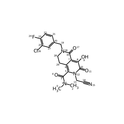 CN(C)C(=O)c1c2c(c(O)c(=O)n1CC#N)C(=O)N(Cc1ccc(F)c(Cl)c1)CC2